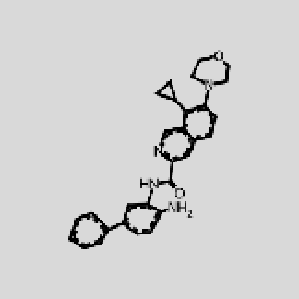 Nc1ccc(-c2ccccc2)cc1NC(=O)c1cc2ccc(N3CCOCC3)c(C3CC3)c2cn1